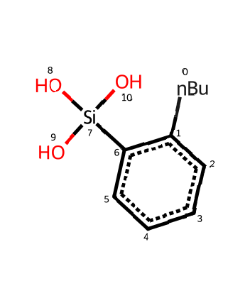 CCCCc1ccccc1[Si](O)(O)O